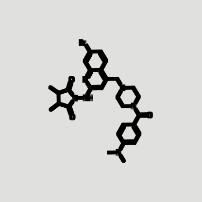 CC1C(=O)N(Nc2cc(CN3CCN(C(=O)c4ccc(N(C)C)cc4)CC3)c3ccc(Br)cc3n2)C(=O)C1C